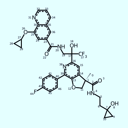 C[C@]1(C(=O)NCCC2(O)CC2)COc2c1cc(C(O)(CNC(=O)c1cc(OC3CC3)c3ncccc3c1)C(F)(F)F)nc2-c1ccc(F)cc1